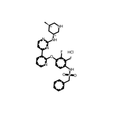 C[C@H]1CNC[C@@H](Nc2nccc(-c3cccnc3Oc3ccc(NS(=O)(=O)Cc4ccccc4)c(F)c3F)n2)C1.Cl